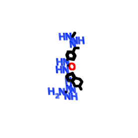 CC(=N)NN=C(C)c1ccc(NC(=O)Nc2ccc3c(c2)CCC(C)C3=NNC(=N)N)cc1